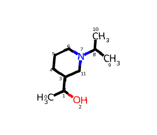 CC(O)C1CCCN(C(C)C)C1